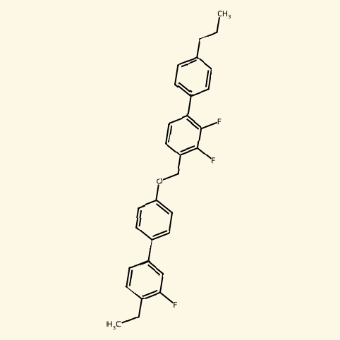 CCCc1ccc(-c2ccc(COc3ccc(-c4ccc(CC)c(F)c4)cc3)c(F)c2F)cc1